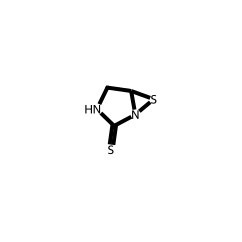 S=C1NCC2SN12